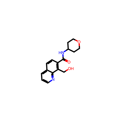 O=C(NC1CCOCC1)c1ccc2cccnc2c1CO